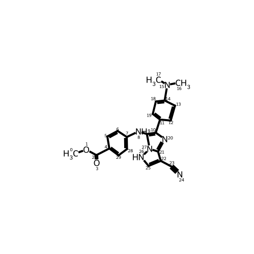 COC(=O)c1ccc(Nc2c(-c3ccc(N(C)C)cc3)nc3c(C#N)c[nH]n23)cc1